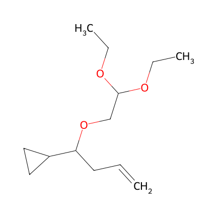 C=CCC(OCC(OCC)OCC)C1CC1